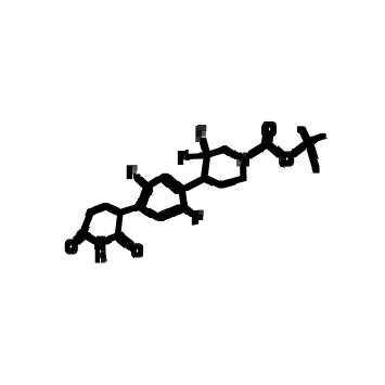 CC(C)(C)OC(=O)N1CCC(c2cc(F)c(C3CCC(=O)NC3=O)cc2F)C(F)(F)C1